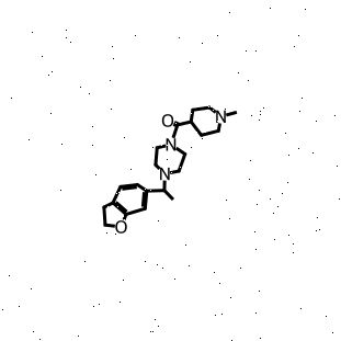 CC(c1ccc2c(c1)OCC2)N1CCN(C(=O)C2CCN(C)CC2)CC1